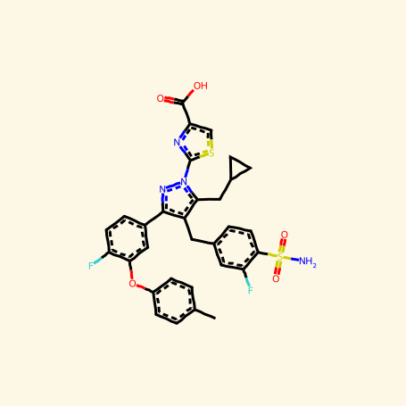 Cc1ccc(Oc2cc(-c3nn(-c4nc(C(=O)O)cs4)c(CC4CC4)c3Cc3ccc(S(N)(=O)=O)c(F)c3)ccc2F)cc1